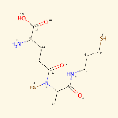 CC(C(=O)NCCCS)N(S)C(=O)CCC(N)C(=O)O